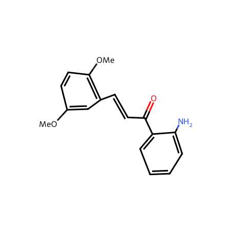 COc1ccc(OC)c(C=CC(=O)c2ccccc2N)c1